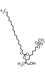 C=C(CO)C(CCCCCCOS(C)(=O)=O)OC(=O)OCCCCCCCCCCCCCCCCCC